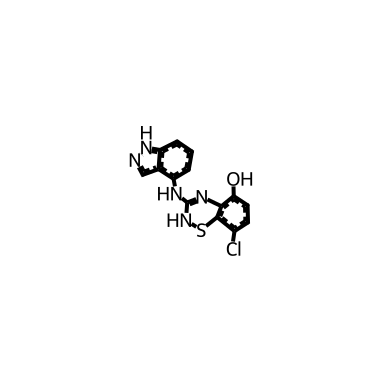 Oc1ccc(Cl)c2c1N=C(Nc1cccc3[nH]ncc13)NS2